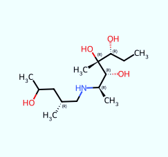 CC[C@@H](O)[C@@](C)(O)[C@H](O)[C@@H](C)NC[C@H](C)CC(C)O